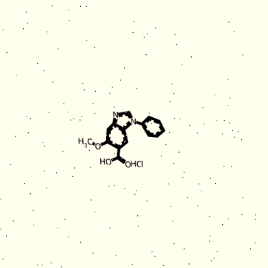 COc1cc2ncn(-c3ccccc3)c2cc1C(=O)O.Cl